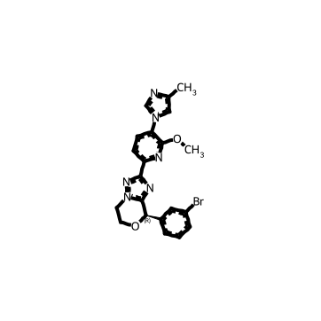 COc1nc(-c2nc3n(n2)CCO[C@@H]3c2cccc(Br)c2)ccc1-n1cnc(C)c1